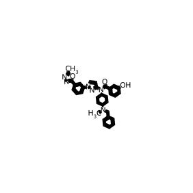 Cc1nnc(-c2cccc(-n3ccc(N(C(=O)c4cccc(O)c4)[C@H]4CC[C@H](N(C)Cc5ccccc5)CC4)n3)c2)o1